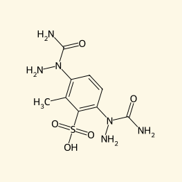 Cc1c(N(N)C(N)=O)ccc(N(N)C(N)=O)c1S(=O)(=O)O